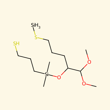 COC(OC)C(CCCS[SiH3])O[Si](C)(C)CCCS